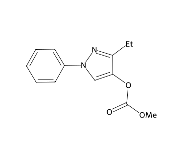 CCc1nn(-c2ccccc2)cc1OC(=O)OC